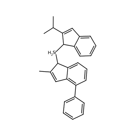 CC1=Cc2c(-c3ccccc3)cccc2C1[SiH2]C1C(C(C)C)=Cc2ccccc21